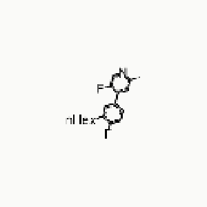 CCCCCCc1cc(-c2cc(C)ncc2F)ccc1F